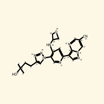 CC(C)(O)CCc1cn(-c2cnc(-c3cnn4cc(C#N)cnc34)cc2NC2COC2)nn1